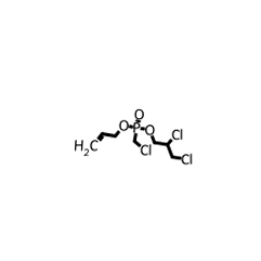 C=CCOP(=O)(CCl)OCC(Cl)CCl